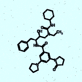 CCN(C[C@H](O)[C@H](Cc1ccccc1)NC(=O)c1cc(N2CCCC2)cc(N2CCCC2=O)c1)C(=O)NC1CCCCC1